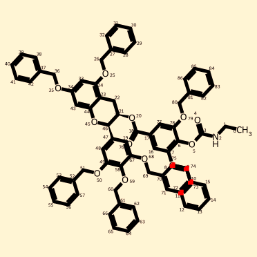 CCNC(=O)Oc1c(OCc2ccccc2)cc(C(=O)O[C@@H]2Cc3c(OCc4ccccc4)cc(OCc4ccccc4)cc3O[C@@H]2c2cc(OCc3ccccc3)c(OCc3ccccc3)c(OCc3ccccc3)c2)cc1OCc1ccccc1